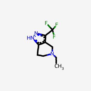 CCN1CCc2[nH]nc(C(F)(F)F)c2C1